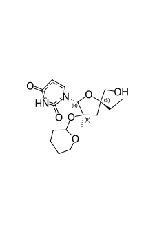 CC[C@@]1(CO)C[C@@](C)(OC2CCCCO2)[C@H](n2ccc(=O)[nH]c2=O)O1